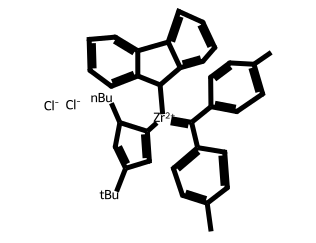 CCCCC1C=C(C(C)(C)C)C=[C]1[Zr+2](=[C](c1ccc(C)cc1)c1ccc(C)cc1)[CH]1c2ccccc2-c2ccccc21.[Cl-].[Cl-]